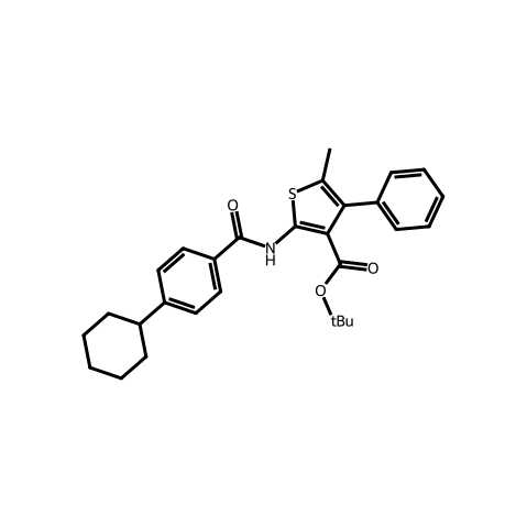 Cc1sc(NC(=O)c2ccc(C3CCCCC3)cc2)c(C(=O)OC(C)(C)C)c1-c1ccccc1